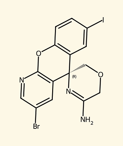 NC1=N[C@]2(COC1)c1cc(I)ccc1Oc1ncc(Br)cc12